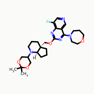 CC1(C)OCC(N2CCC[C@@]3(COc4nc(N5CCCOCC5)c5cncc(F)c5n4)CCC[C@@H]23)CO1